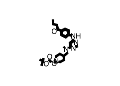 CCCC(=O)c1ccc(Nc2cc(N(C)CC3CCN(OC(=O)OC(C)(C)C)CC3)ncn2)cc1